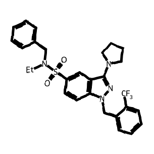 CCN(Cc1ccccc1)S(=O)(=O)c1ccc2c(c1)c(N1CCCC1)nn2Cc1ccccc1C(F)(F)F